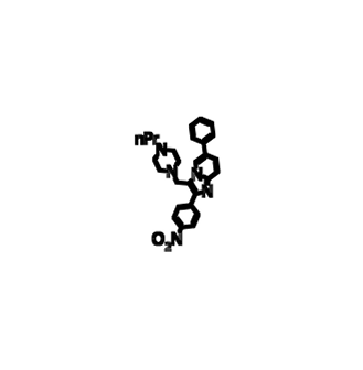 CCCN1CCN(Cc2c(-c3ccc([N+](=O)[O-])cc3)nc3ccc(-c4ccccc4)cn23)CC1